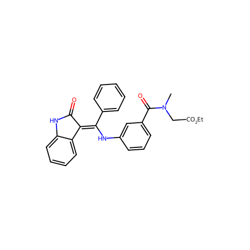 CCOC(=O)CN(C)C(=O)c1cccc(NC(=C2C(=O)Nc3ccccc32)c2ccccc2)c1